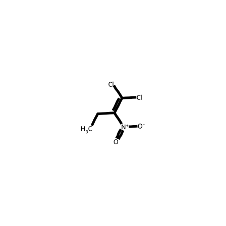 CCC(=C(Cl)Cl)[N+](=O)[O-]